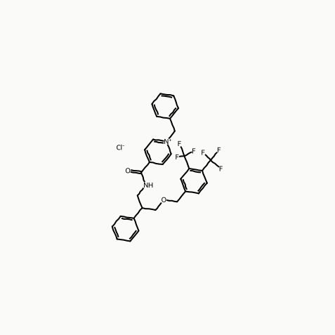 O=C(NCC(COCc1ccc(C(F)(F)F)c(C(F)(F)F)c1)c1ccccc1)c1cc[n+](Cc2ccccc2)cc1.[Cl-]